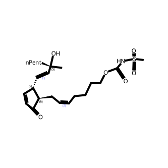 CCCCC[C@](C)(O)/C=C/[C@H]1C=CC(=O)[C@@H]1C/C=C\CCCCOC(=O)NS(C)(=O)=O